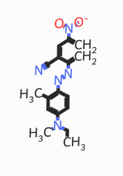 C=C(/N=N/c1ccc(N(C)CC)cc1C)/C(C#N)=C\C(=C)[N+](=O)[O-]